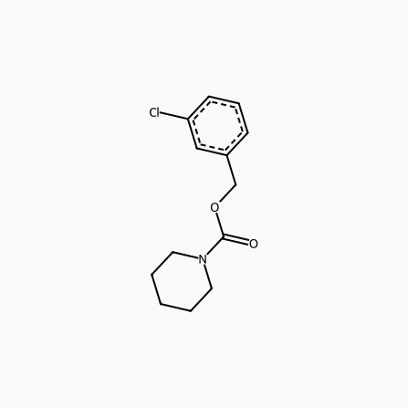 O=C(OCc1cccc(Cl)c1)N1CCCCC1